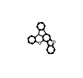 c1ccc2c(c1)Oc1c3c(cc4oc5ccccc5c14)-c1ccccc1C23